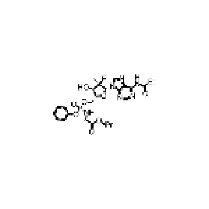 CCC(=O)Nc1ncnc2c1ncn2[C@@H]1O[C@H](CO[P@](=O)(N[C@@H](C)C(=O)OC(C)C)Oc2ccccc2)[C@@H](O)[C@@]1(C)F